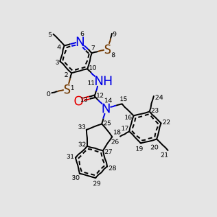 CSc1cc(C)nc(SC)c1NC(=O)N(Cc1c(C)cc(C)cc1C)C1Cc2ccccc2C1